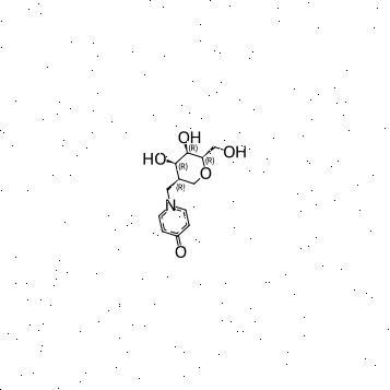 O=c1ccn(C[C@@H]2CO[C@H](CO)[C@H](O)[C@@H]2O)cc1